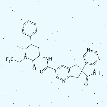 C[C@@H]1[C@H](c2ccccc2)C[C@H](NC(=O)c2cnc3c(c2)C[C@@]2(C3)C(=O)Nc3ncncc32)C(=O)N1CC(F)(F)F